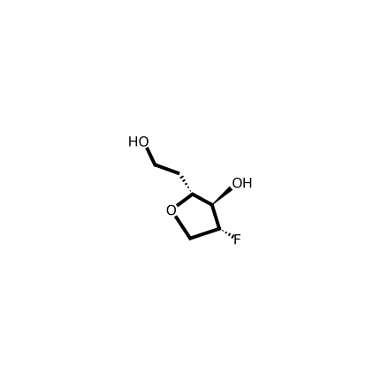 OCC[C@H]1OC[C@@H](F)[C@@H]1O